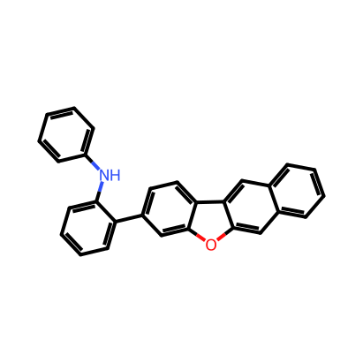 c1ccc(Nc2ccccc2-c2ccc3c(c2)oc2cc4ccccc4cc23)cc1